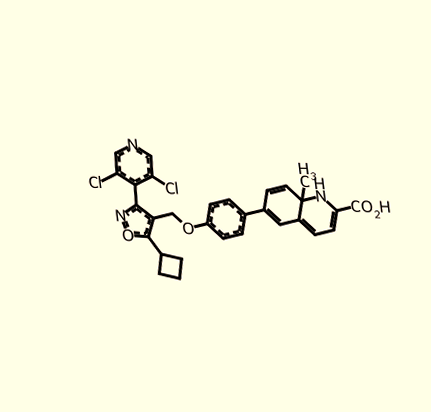 CC12C=CC(c3ccc(OCc4c(-c5c(Cl)cncc5Cl)noc4C4CCC4)cc3)=CC1=CC=C(C(=O)O)N2